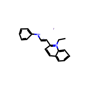 CC[n+]1c(/C=C/Nc2ccccc2)ccc2ccccc21.[I-]